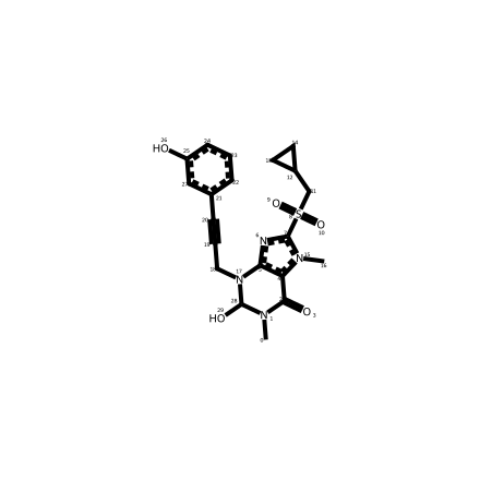 CN1C(=O)c2c(nc(S(=O)(=O)CC3CC3)n2C)N(CC#Cc2cccc(O)c2)C1O